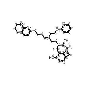 CC(=O)[C@H](CCN(CCCCc1ccc2c(n1)NCCC2)CCOc1ccccn1)Nc1c2c(nc[n+]1O)C=[N+]2C